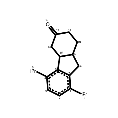 CC(C)c1ccc(C(C)C)c2c1CC1CCC(=O)CC21